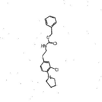 O=C(NCCc1ccc(N2C[CH]CC2)c(Cl)c1)OCc1ccccc1